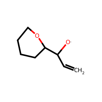 C=CC([O])C1CCCCO1